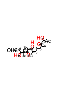 CC(=O)C(O)C1OC1(C)CCCC(C)C(O)C(C)C(=O)C(C)(C)C(O)CC=O